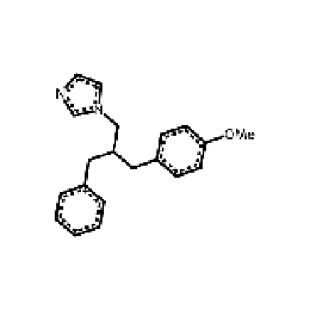 COc1ccc(CC(Cc2ccccc2)Cn2ccnc2)cc1